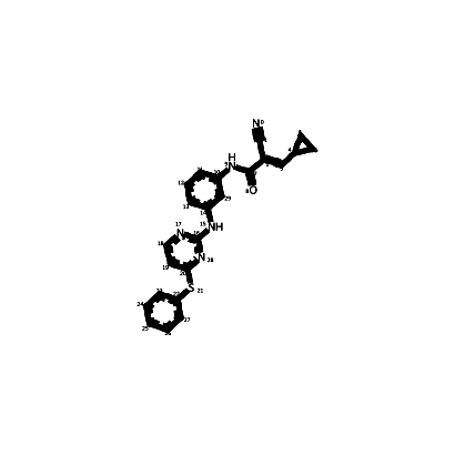 N#CC(=CC1CC1)C(=O)Nc1cccc(Nc2nccc(Sc3ccccc3)n2)c1